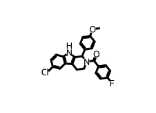 COc1ccc(C2c3[nH]c4ccc(Cl)cc4c3CCN2C(=O)c2ccc(F)cc2)cc1